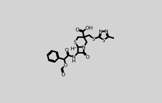 Cc1nnc(SCC2(C(=O)O)CS[C@@H]3C(NC(=O)C(OC=O)c4ccccc4)C(=O)N3C2)s1